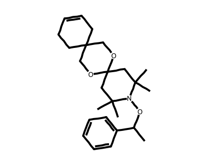 CC(ON1C(C)(C)CC2(CC1(C)C)OCC1(CC=CCC1)CO2)c1ccccc1